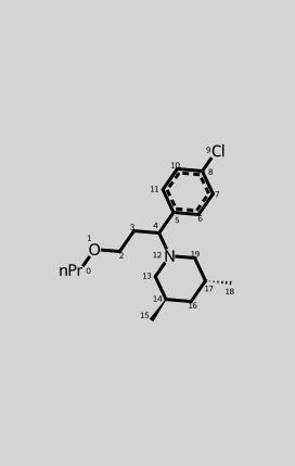 CCCOCCC(c1ccc(Cl)cc1)N1C[C@H](C)C[C@@H](C)C1